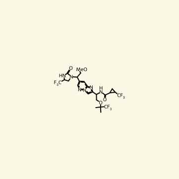 COCC(c1cnn2cc(C(COC(C)(C)C(F)(F)F)NC(=O)C3CC3C(F)(F)F)nc2c1)N1CC(C(F)(F)F)NC1=O